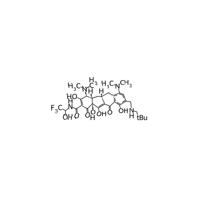 CN(C)c1cc(CNCC(C)(C)C)c(O)c2c1C[C@H]1C[C@H]3[C@H](N(C)C)C(O)=C(C(=O)NC(O)C(F)(F)F)C(=O)[C@@]3(O)C(O)=C1C2=O